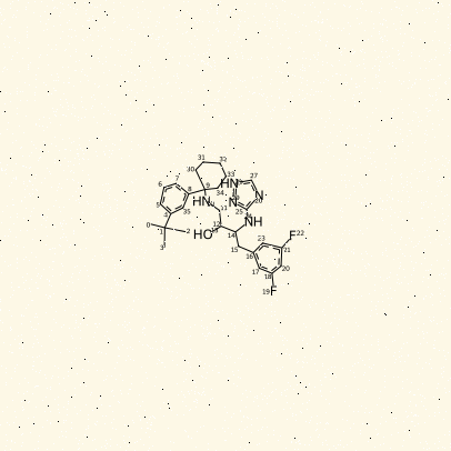 CC(C)(C)c1cccc(C2(NCC(O)C(Cc3cc(F)cc(F)c3)Nc3nc[nH]n3)CCCCC2)c1